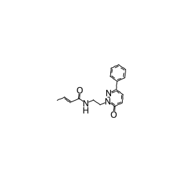 CC=CC(=O)NCCn1nc(-c2ccccc2)ccc1=O